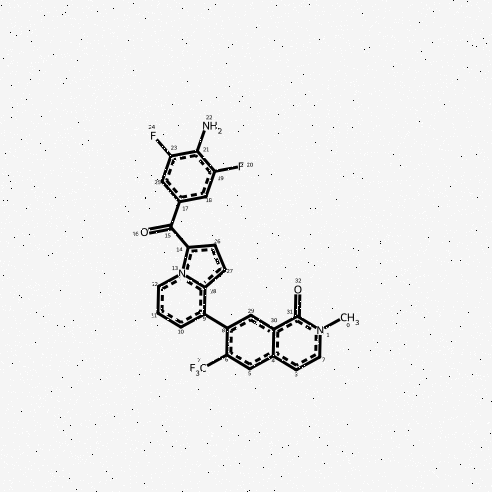 Cn1ccc2cc(C(F)(F)F)c(-c3cccn4c(C(=O)c5cc(F)c(N)c(F)c5)ccc34)cc2c1=O